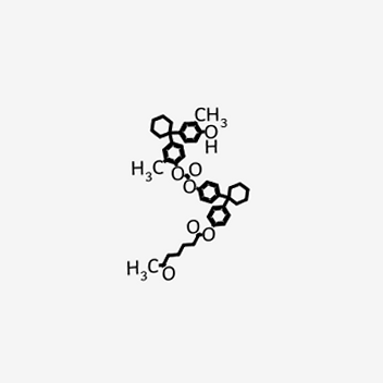 CC(=O)CCCCC(=O)Oc1ccc(C2(c3ccc(OC(=O)Oc4ccc(C5(c6ccc(O)c(C)c6)CCCCC5)cc4C)cc3)CCCCC2)cc1